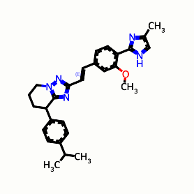 COc1cc(/C=C/c2nc3n(n2)CCCC3c2ccc(C(C)C)cc2)ccc1-c1nc(C)c[nH]1